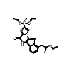 CCOC(=O)Cc1cccc2c1Cc1c-2[nH]c(=O)c2nc(P(=O)(OCC)OCC)cn12